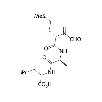 CSCC[C@H](NC=O)C(=O)N[C@@H](C)C(=O)N[C@@H](CC(C)C)C(=O)O